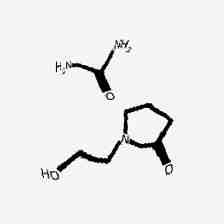 NC(N)=O.O=C1CCCN1CCO